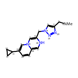 CNCc1cn(CC2=CN3C=C(C4CC4)C=CC3=CN2)nn1